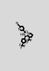 N#Cc1ccc(C(=O)N[C@@H](c2ccc(C(F)(F)F)cc2)c2ncccc2C(F)(F)F)cn1